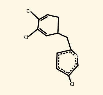 ClC1=CCC(Cc2ccc(Cl)cn2)C=C1Cl